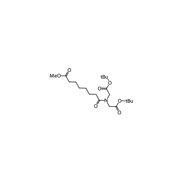 COC(=O)CCCCCCC(=O)N(CC(=O)OC(C)(C)C)CC(=O)OC(C)(C)C